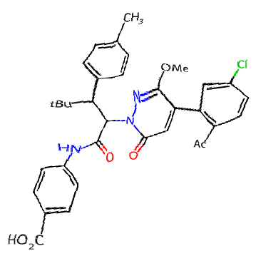 COc1nn(C(C(=O)Nc2ccc(C(=O)O)cc2)C(c2ccc(C)cc2)C(C)(C)C)c(=O)cc1-c1cc(Cl)ccc1C(C)=O